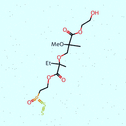 CCC(C)(OCC(C)(OC)C(=O)OCCO)C(=O)OCCP(=O)=S=S